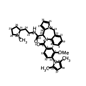 COc1cc(C(=O)N2c3ccccc3Cn3cccc3C2C(=O)NCCC2CCCN2C)ccc1-n1c(C)ccc1C